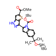 COC(=O)c1cc2[nH]nc(-c3cc4cc(C(C)(C)O[SiH2]C(C)(C)C)ccc4n3C(=O)OC(C)(C)C)c2s1